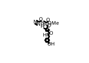 COC(=O)C(CNC(=O)c1cnccn1)NC(=O)c1sc(C(=O)NCc2cccc(O)c2)cc1C